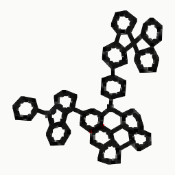 c1ccc(-c2cccc3cccc(-c4ccccc4N(c4ccc(-c5ccc6c(c5)C(c5ccccc5)(c5ccccc5)c5ccccc5-6)cc4)c4cccc(-c5cccc6c5c5ccccc5n6-c5ccccc5)c4)c23)cc1